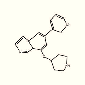 C1=CNCC(C2=CC3C=CN=CC3C(OC3CCNCC3)=C2)=C1